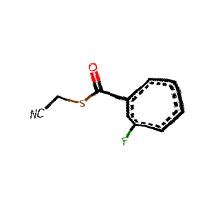 N#CCSC(=O)c1ccccc1F